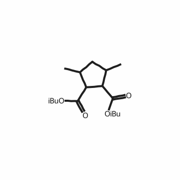 CC(C)COC(=O)C1C(C)CC(C)C1C(=O)OCC(C)C